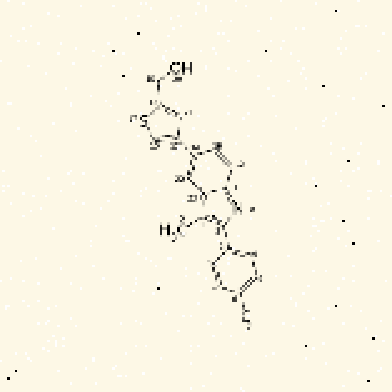 Cc1c(-c2ccc(Cl)cc2)nc2ccc(-c3csc(CO)c3)cn12